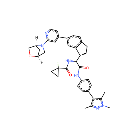 Cc1nn(C)c(C)c1-c1ccc(NC(=O)[C@@H](NC(=O)C2(F)CC2)[C@@H]2CCc3ccc(-c4ccnc(N5C[C@@H]6C[C@H]5CO6)c4)cc32)cc1